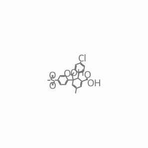 CC1=CC(C(=O)O)(c2ccc(S(C)(=O)=O)cc2)C(c2ccc(Cl)cc2)C(C(=O)O)=C1